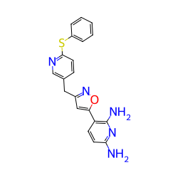 Nc1ccc(-c2cc(Cc3ccc(Sc4ccccc4)nc3)no2)c(N)n1